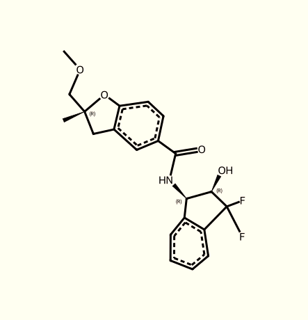 COC[C@@]1(C)Cc2cc(C(=O)N[C@@H]3c4ccccc4C(F)(F)[C@@H]3O)ccc2O1